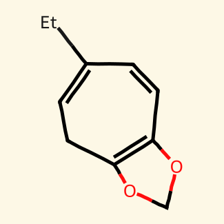 CCC1=CCC2=C(C=C1)OCO2